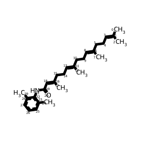 CC(C)=CCC/C(C)=C/CC/C(C)=C/CC/C(C)=C/C(=O)Nc1c(C)cccc1C